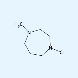 CN1CCCN(Cl)CC1